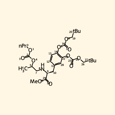 CCCOC(=O)OC(C)CN[C@@H](Cc1ccc(OC(=O)OCC(C)(C)C)c(OC(=O)OCC(C)(C)C)c1)C(=O)OC